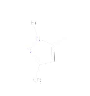 CCn1nc(C#N)cc1C